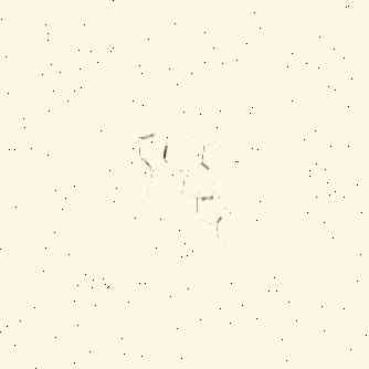 CCc1nnc(CN(C(=O)C(Cl)CC)c2ccccc2CC)o1